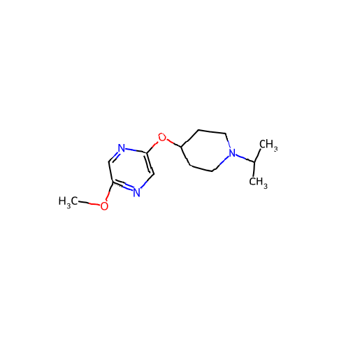 COc1cnc(OC2CCN(C(C)C)CC2)cn1